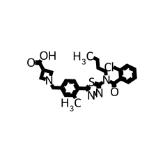 CCCCN(C(=O)c1ccccc1Cl)c1nnc(-c2ccc(CN3CC(C(=O)O)C3)cc2C)s1